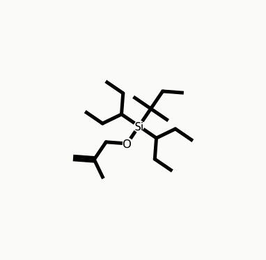 C=C(C)CO[Si](C(CC)CC)(C(CC)CC)C(C)(C)CC